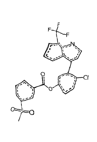 CS(=O)(=O)c1cccc(C(=O)Oc2ccc(Cl)c(-c3ccnc4c(C(F)(F)F)cccc34)c2)c1